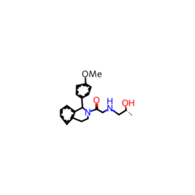 COc1ccc(C2c3ccccc3CCN2C(=O)CNC[C@@H](C)O)cc1